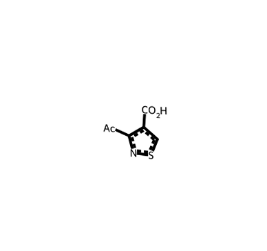 CC(=O)c1nscc1C(=O)O